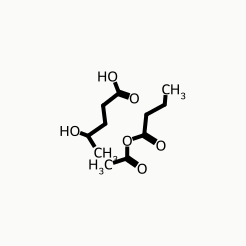 CC(O)CCC(=O)O.CCCC(=O)OC(C)=O